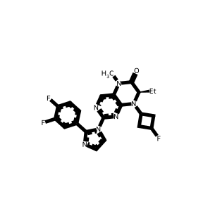 CC[C@@H]1C(=O)N(C)c2cnc(-n3ccnc3-c3ccc(F)c(F)c3)nc2N1C1CC(F)C1